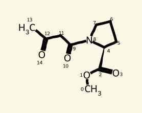 COC(=O)[C@@H]1CCCN1C(=O)CC(C)=O